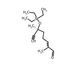 C#C[C@](C)(CC/C=C(\C)C=O)O[Si](CC)(CC)CC